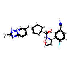 Cc1nc2ccc(C[C@H]3CC[C@H](C(=O)N4OCC[C@H]4c4cc(C#N)ccc4F)CC3)cn2n1